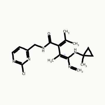 C=N/C(NC1(C)CC1)=C(\C)C(C(=O)NCc1ccnc(Cl)n1)=C(C)C